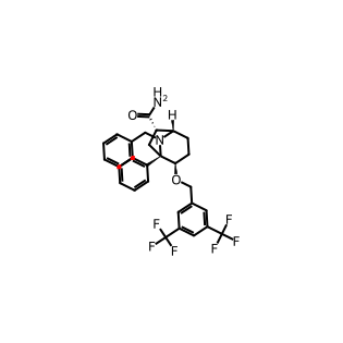 NC(=O)[C@H]1C[C@@]2(c3ccccc3)[C@H](OCc3cc(C(F)(F)F)cc(C(F)(F)F)c3)CC[C@@H]1N2Cc1ccccc1